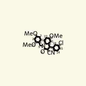 COc1ccc(Cn2c(=O)c(C#N)c(-c3cccc(Cl)c3)c3cc(OC)ccc32)c(OC)c1